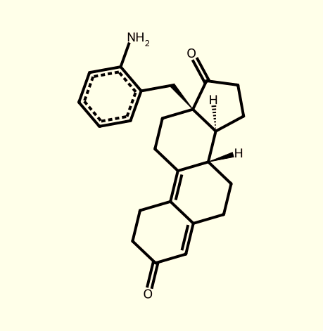 Nc1ccccc1C[C@]12CCC3=C4CCC(=O)C=C4CC[C@H]3[C@@H]1CCC2=O